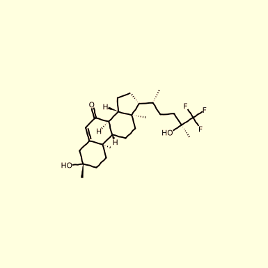 C[C@H](CC[C@](C)(O)C(F)(F)F)[C@H]1CC[C@H]2[C@@H]3C(=O)C=C4C[C@@](C)(O)CC[C@]4(C)[C@H]3CC[C@]12C